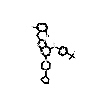 FC(F)(F)c1ccc(Nc2nc(N3CCN(C4CCCC4)CC3)nc3sc(Cc4c(Cl)cccc4Cl)nc23)cc1